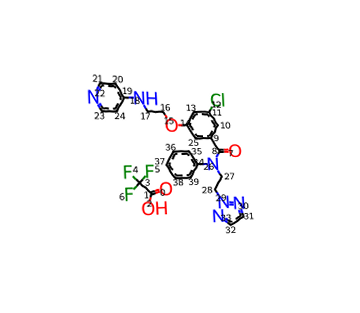 O=C(O)C(F)(F)F.O=C(c1cc(Cl)cc(OCCNc2ccncc2)c1)N(CCn1nccn1)c1ccccc1